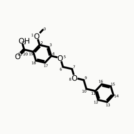 COc1cc(OCCOCCc2ccccc2)ccc1C(=O)O